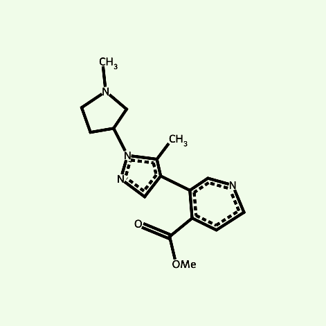 COC(=O)c1ccncc1-c1cnn(C2CCN(C)C2)c1C